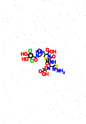 CC(C)(O/N=C(\C(=O)N[C@@H]1C(=O)N2C(C(=O)O)=C(C[N+]3(CCNC(=O)c4cc(Cl)c(O)c(O)c4Cl)CCCC3)CS[C@H]12)c1csc(N)n1)C(=O)O